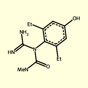 CCc1cc(O)cc(CC)c1N(C(=N)N)C(=O)NC